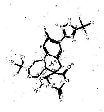 CC[C@@H]1O[C@H](C(F)(F)F)CN2c3cc(F)c(-c4noc(C(F)(F)F)n4)cc3CC3(C(=O)NC(=O)NC3=O)[C@@H]12